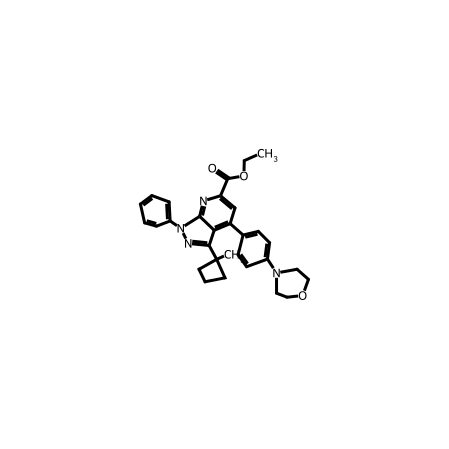 CCOC(=O)c1cc(-c2ccc(N3CCOCC3)cc2)c2c(C3(C)CCC3)nn(-c3ccccc3)c2n1